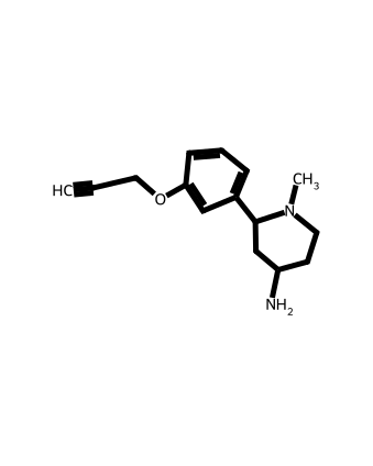 C#CCOc1cccc(C2CC(N)CCN2C)c1